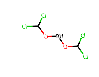 ClC(Cl)OBOC(Cl)Cl